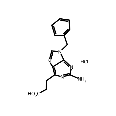 Cl.Nc1nc(CCC(=O)O)c2ncn(Cc3ccccc3)c2n1